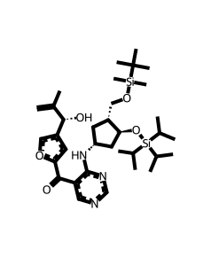 C=C(C)[C@H](O)c1coc(C(=O)c2cncnc2N[C@@H]2C[C@H](CO[Si](C)(C)C(C)(C)C)[C@@H](O[Si](C(C)C)(C(C)C)C(C)C)C2)c1